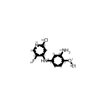 CCOc1ccc(Nc2cc(Cl)ncc2F)cc1N